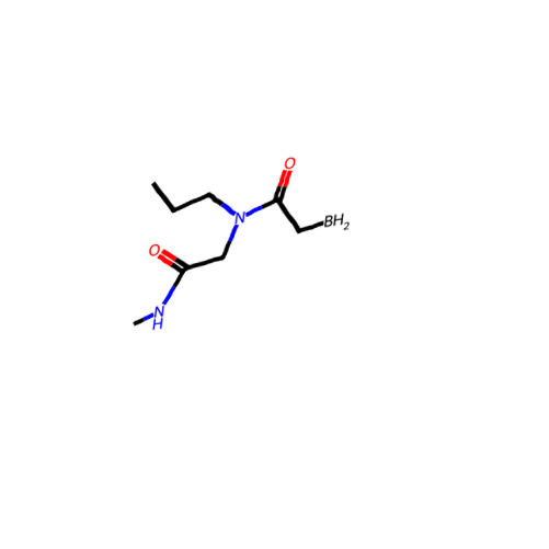 BCC(=O)N(CCC)CC(=O)NC